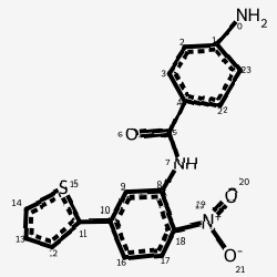 Nc1ccc(C(=O)Nc2cc(-c3cccs3)ccc2[N+](=O)[O-])cc1